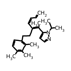 C=C/C=C\C(CCc1ccc(C)c(C)c1C)=C(/C)c1ccnn1C(C)C